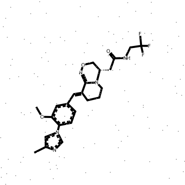 COc1cc(/C=C2\CCCN3C2=NOC[C@@H]3CC(=O)NCC(F)(F)F)ccc1-n1cnc(C)c1